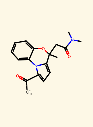 CN(C)C(=O)CC1(C)Oc2ccccc2-n2c(C(=O)C(F)(F)F)ccc21